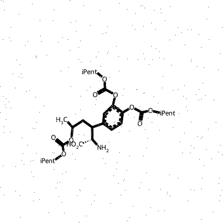 CCCC(C)OC(=O)Oc1ccc(C(CC(C)OC(=O)OC(C)CCC)[C@H](N)C(=O)O)cc1OC(=O)OC(C)CCC